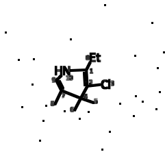 CCC1=C(Cl)C(C)(C)C(C)=CN1